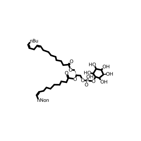 CCCC/C=C\C/C=C\CCCCCCCC(=O)OC[C@H](COP(=O)(O)OC1C(O)C(O)C(O)[C@@H](O)C1O)OC(=O)CCCCCCC/C=C\CCCCCCCCC